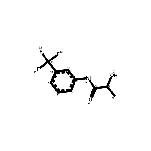 CC(O)C(=O)Nc1[c]ccc(C(F)(F)F)c1